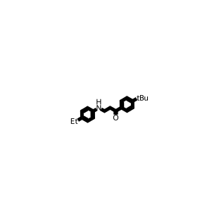 CCc1ccc(NCCC(=O)c2ccc(C(C)(C)C)cc2)cc1